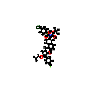 CC(C)COC1=C(c2ccc(F)cc2)C(=O)C(Cc2cccc3c2CCC(N(C(=O)OC(C)(C)C)S(=O)(=O)c2ccc(Cl)cc2)C3)C1